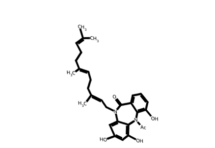 CC(=O)N1c2c(O)cccc2C(=O)N(C/C=C(\C)CC/C=C(\C)CCC=C(C)C)c2cc(O)cc(O)c21